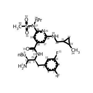 CCCC[C@H](N)[C@H](Cc1cc(F)cc(F)c1)NC(=O)c1cc(NCC2CC2C)nc(N(CCC)S(C)(=O)=O)c1